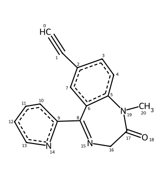 C#Cc1ccc2c(c1)C(c1ccccn1)=NCC(=O)N2C